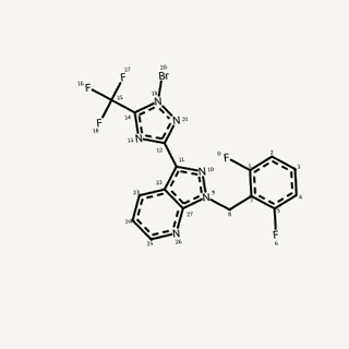 Fc1cccc(F)c1Cn1nc(-c2nc(C(F)(F)F)n(Br)n2)c2cccnc21